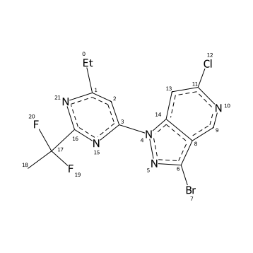 CCc1cc(-n2nc(Br)c3cnc(Cl)cc32)nc(C(C)(F)F)n1